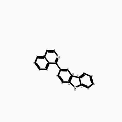 [c]1c(-c2nccc3ccccc23)ccc2oc3ccccc3c12